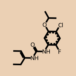 CC=C(CC)NC(=O)Nc1cc(OC(C)C)c(Cl)cc1F